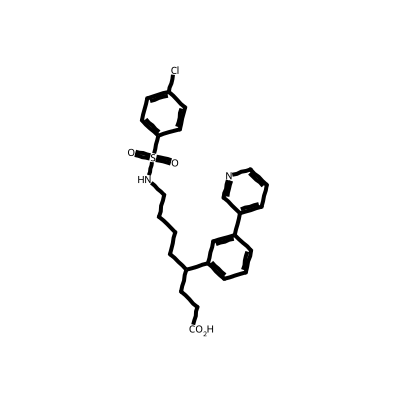 O=C(O)CCC(CCCCNS(=O)(=O)c1ccc(Cl)cc1)c1cccc(-c2cccnc2)c1